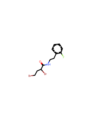 O=C(NCCc1ccccc1F)C(Br)CCBr